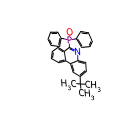 CC(C)(C)c1ccc2nc(P(=O)(c3ccccc3)c3ccccc3)c3ccccc3c2c1